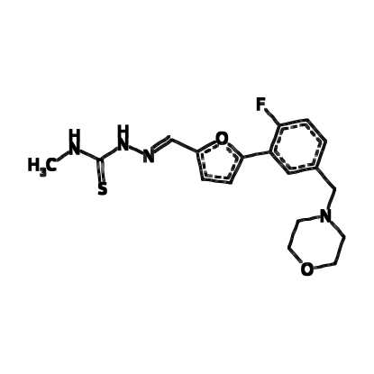 CNC(=S)N/N=C/c1ccc(-c2cc(CN3CCOCC3)ccc2F)o1